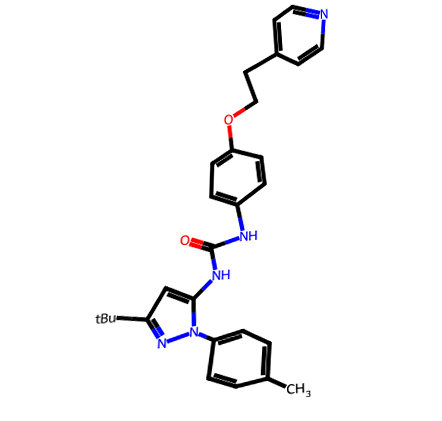 Cc1ccc(-n2nc(C(C)(C)C)cc2NC(=O)Nc2ccc(OCCc3ccncc3)cc2)cc1